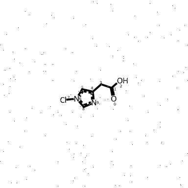 O=C(O)Cc1cn(Cl)cn1